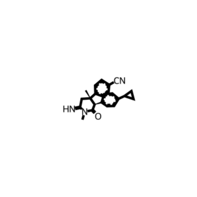 CN1C(=N)C[C@](C)(c2ccc(C#N)cc2)[C@@H](c2ccc(C3CC3)cc2)C1=O